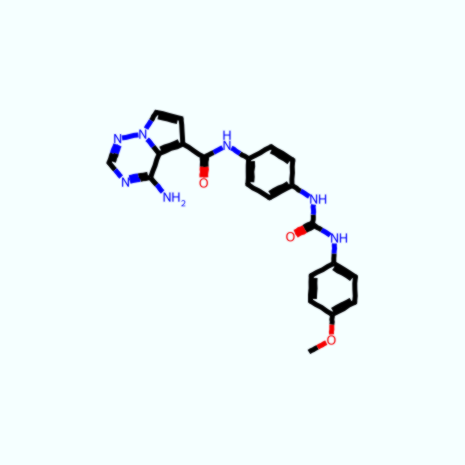 COc1ccc(NC(=O)Nc2ccc(NC(=O)c3ccn4ncnc(N)c34)cc2)cc1